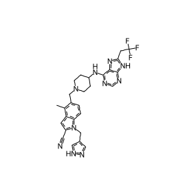 Cc1c(CN2CCC(Nc3ncnc4[nH]c(CC(F)(F)F)nc34)CC2)ccc2c1cc(C#N)n2Cc1cn[nH]c1